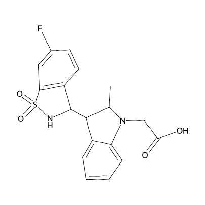 CC1C(C2NS(=O)(=O)c3cc(F)ccc32)c2ccccc2N1CC(=O)O